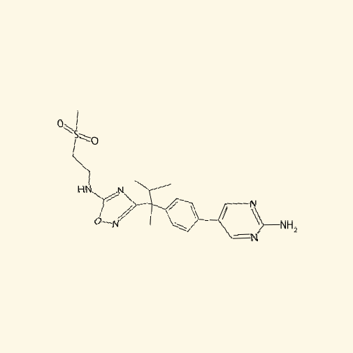 CC(C)C(C)(c1ccc(-c2cnc(N)nc2)cc1)c1noc(NCCS(C)(=O)=O)n1